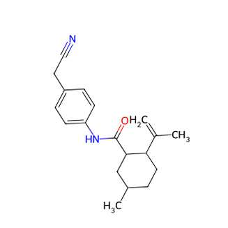 C=C(C)C1CCC(C)CC1C(=O)Nc1ccc(CC#N)cc1